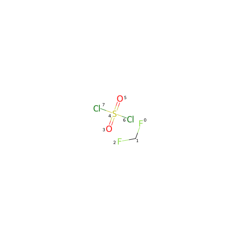 FCF.O=S(=O)(Cl)Cl